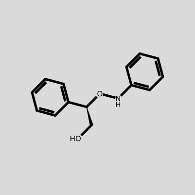 OC[C@H](ONc1ccccc1)c1ccccc1